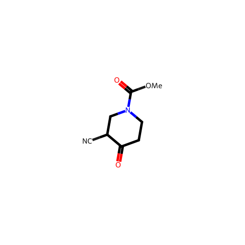 COC(=O)N1CCC(=O)C(C#N)C1